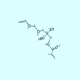 C=COCOCC(CC)(CCCC)COC(=O)C=C